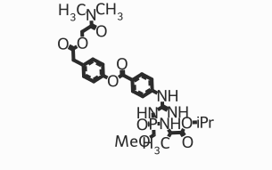 COCP(=O)(NC(=N)Nc1ccc(C(=O)Oc2ccc(CC(=O)OCC(=O)N(C)C)cc2)cc1)NC(C)C(=O)OC(C)C